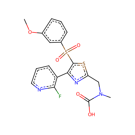 COc1cccc(S(=O)(=O)c2sc(CN(C)C(=O)O)nc2-c2cccnc2F)c1